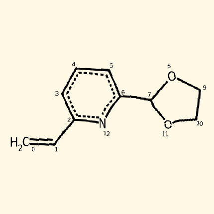 C=Cc1cccc(C2OCCO2)n1